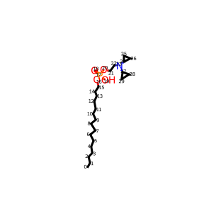 CCCCCCCCCCCCCCCCOP(=O)(O)OCCN(C1CC1)C1CC1